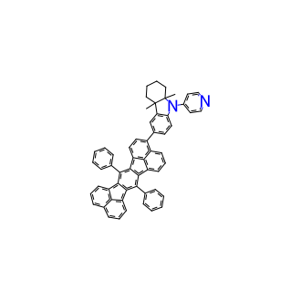 CC12CCCCC1(C)N(c1ccncc1)c1ccc(-c3ccc4c5c(-c6ccccc6)c6c7cccc8cccc(c6c(-c6ccccc6)c5c5cccc3c54)c87)cc12